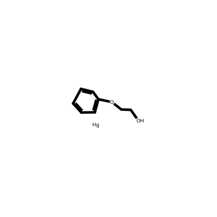 OCCOc1ccccc1.[Hg]